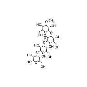 CO[C@@H]1C(O)[C@H](O[C@@H]2C(O)[C@H](O[C@@H]3C(O)[C@H](O[C@@H]4C(O)[C@H](O)OC(CO)[C@H]4O)OC(CO)[C@H]3O)OC(CO)[C@H]2O)OC(CO)[C@H]1O